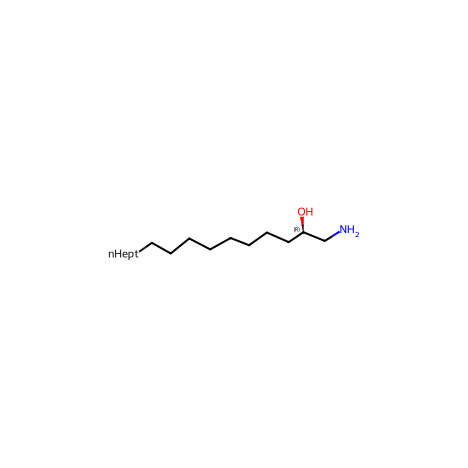 CCCCCCCCCCCCCCC[C@@H](O)CN